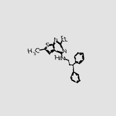 CCc1nc(NCCC(c2ccccc2)c2ccccc2)c2cc(C)sc2n1